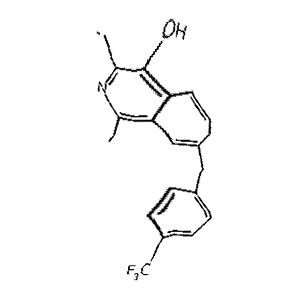 [CH2]c1nc(C)c2cc(Cc3ccc(C(F)(F)F)cc3)ccc2c1O